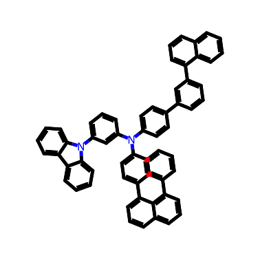 c1ccc(-c2cccc3cccc(-c4ccc(N(c5ccc(-c6cccc(-c7cccc8ccccc78)c6)cc5)c5cccc(-n6c7ccccc7c7ccccc76)c5)cc4)c23)cc1